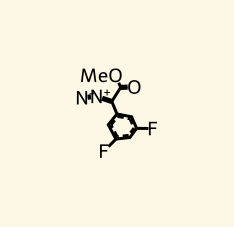 COC(=O)C(=[N+]=[N-])c1cc(F)cc(F)c1